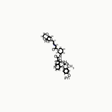 Cc1cc(OC(C)C)ccc1N1C(=O)Nc2c(C(=O)N[C@@H]3CCCN(C(=O)/C=C/CN4C=C5OCCO[C@H]5C4)C3)sc3nccc1c23